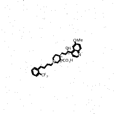 COc1ccc2nccc([C@@H](O)CC[C@@H]3CCN(CCCCc4ccccc4C(F)(F)F)C[C@@H]3C(=O)O)c2c1